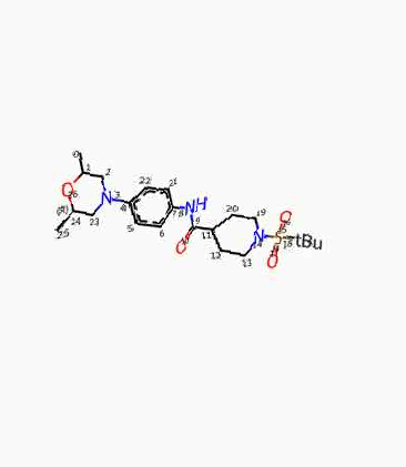 CC1CN(c2ccc(NC(=O)C3CCN(S(=O)(=O)C(C)(C)C)CC3)cc2)C[C@@H](C)O1